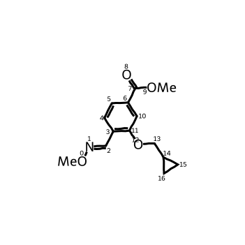 CO/N=C/c1ccc(C(=O)OC)cc1OCC1CC1